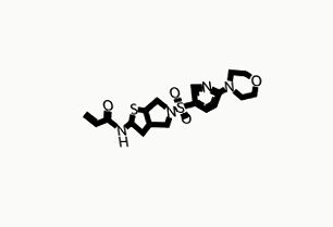 C=CC(=O)NC1CC2CN(S(=O)(=O)c3ccc(N4CCOCC4)nc3)CC2S1